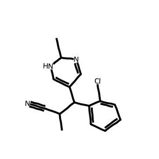 CC1N=CC(C(c2ccccc2Cl)C(C)C#N)=CN1